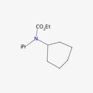 CCOC(=O)N(C(C)C)C1CCCCC1